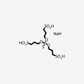 O=S(=O)(O)CCCOP(=S)(OCCCS(=O)(=O)O)OCCCS(=O)(=O)O.[NaH]